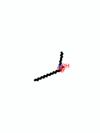 CCCCCCCCCCCCCCCCCC(=O)ON(CCCCCCCCC)C(=O)O